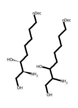 CCCCCCCCCCCCCCCC(O)C(N)CO.CCCCCCCCCCCCCCC[C@@H](O)[C@@H](N)CO